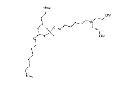 CCCCCCCCCCCCCCCCOC(CSCCCCCCCCCCCC)O[Si](C)(C)OCCCCCCN(CCO)CCO